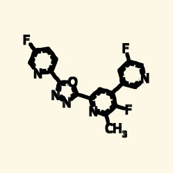 Cc1nc(-c2nnc(-c3ccc(F)cn3)o2)cc(-c2cncc(F)c2)c1F